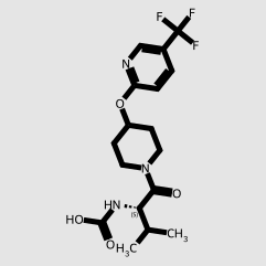 CC(C)[C@H](NC(=O)O)C(=O)N1CCC(Oc2ccc(C(F)(F)F)cn2)CC1